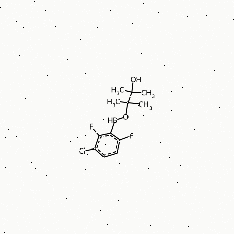 CC(C)(O)C(C)(C)OBc1c(F)ccc(Cl)c1F